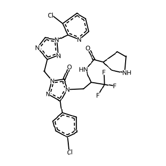 O=C(NC(Cn1c(-c2ccc(Cl)cc2)nn(Cc2ncn(-c3ncccc3Cl)n2)c1=O)C(F)(F)F)C1CCNC1